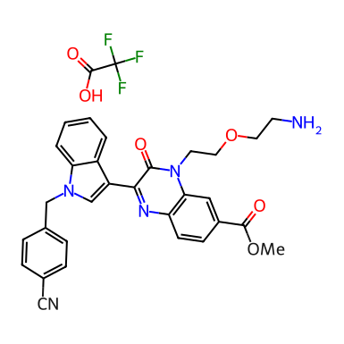 COC(=O)c1ccc2nc(-c3cn(Cc4ccc(C#N)cc4)c4ccccc34)c(=O)n(CCOCCN)c2c1.O=C(O)C(F)(F)F